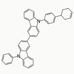 C1=CCC(c2ccc(-n3c4ccccc4c4cc(-c5ccc6c(c5)c5ccccc5n6-c5ccccc5)ccc43)cc2)CC1